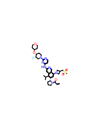 C=CC(=O)N1CCC[C@@H]1c1cc(N2CC(CS(C)(=O)=O)C2)c2cnc(Nc3ccnc(N4CC[C@@H](OC5CCOCC5)[C@@H](F)C4)n3)cc2c1C(C)C